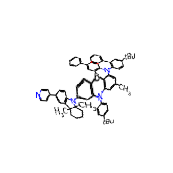 Cc1cc2c3c(c1)N(c1ccc(C(C)(C)C)cc1-c1ccccc1)c1ccc(-c4ccccc4)cc1B3c1ccc(N3c4ccc(-c5ccncc5)cc4C4(C)CCCCC34C)cc1N2c1ccc(C(C)(C)C)cc1